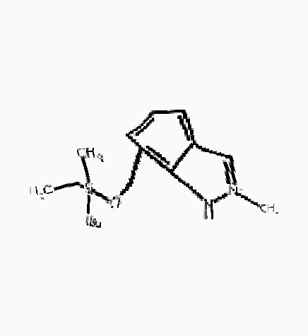 C[n+]1cc2cccc(O[Si](C)(C)C(C)(C)C)c2[nH]1